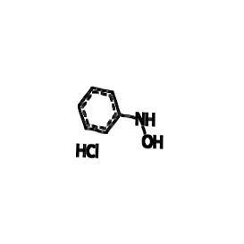 Cl.ONc1ccccc1